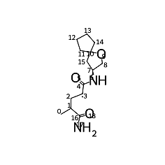 CC(C[CH]C(=O)N[C@@H]1COC2(CCCC2)C1)C(N)=O